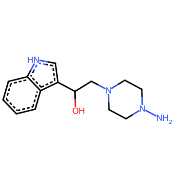 NN1CCN(CC(O)c2c[nH]c3ccccc23)CC1